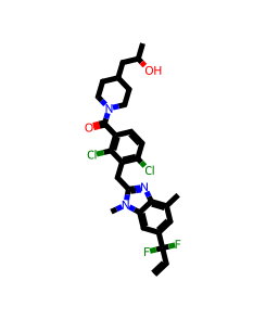 C=CC(F)(F)c1cc(C)c2nc(Cc3c(Cl)ccc(C(=O)N4CCC(CC(C)O)CC4)c3Cl)n(C)c2c1